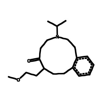 COCCC1CCc2ccccc2CCN(C(C)C)CCC1=O